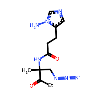 CCC(=O)C(C)(CN=[N+]=[N-])NC(=O)CCc1cncn1N